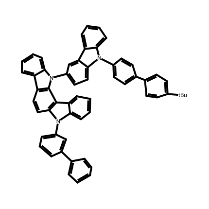 CC(C)(C)c1ccc(-c2ccc(-n3c4ccccc4c4cc(-n5c6ccccc6c6ccc7c(c8ccccc8n7-c7cccc(-c8ccccc8)c7)c65)ccc43)cc2)cc1